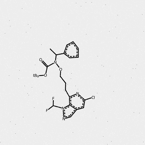 CC(c1ccccc1)N(OCCCc1nc(Cl)cc2cnn(C(F)F)c12)C(=O)OC(C)(C)C